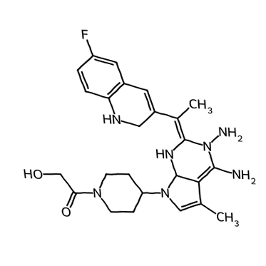 CC1=CN(C2CCN(C(=O)CO)CC2)C2N/C(=C(/C)C3=Cc4cc(F)ccc4NC3)N(N)C(N)=C12